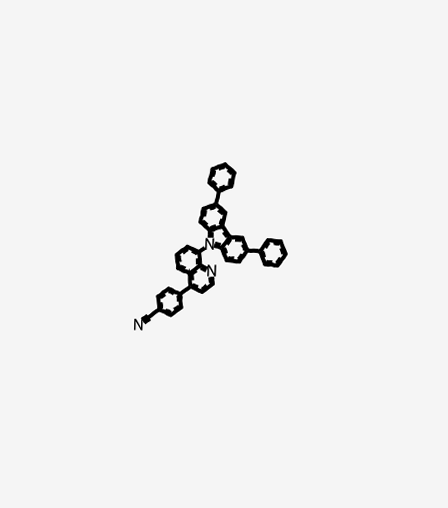 N#Cc1ccc(-c2ccnc3c(-n4c5ccc(-c6ccccc6)cc5c5cc(-c6ccccc6)ccc54)cccc23)cc1